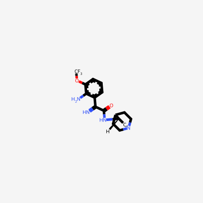 N=C(C(=O)N[C@H]1CN2CCC1CC2)c1cccc(OC(F)(F)F)c1N